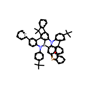 CC(C)(C)c1ccc(N2B3c4cc5sc6ccccc6c5cc4N(c4ccc(C(C)(C)C)cc4-c4ccccc4)c4cc5c(c(c43)-c3cc(-c4ccccc4)ccc32)C(C)(C)c2ccccc2-5)cc1